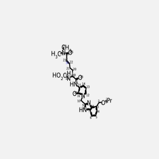 CC(C)OCc1cccc2[nH]c(Cn3cccc(NC(=O)[C@H](CC/C=C/C(=O)N(C)C)NC(=O)O)c3=O)nc12